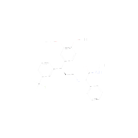 CNC(=O)[C@@H](NCC[C@@H](c1cccc(C(F)(F)F)c1)c1ccc(OC)c(OC)c1)c1ccccc1